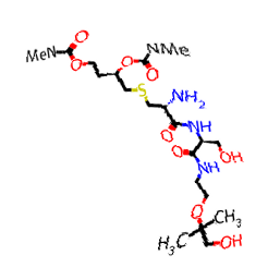 CNC(=O)OCC[C@H](CSC[C@H](N)C(=O)N[C@@H](CO)C(=O)NCCOC(C)(C)CO)OC(=O)NC